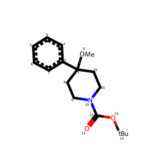 COC1(c2ccccc2)CCN(C(=O)OC(C)(C)C)CC1